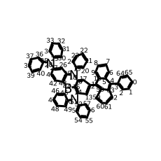 c1ccc(-c2c3ccccc3c(-c3cc4c5c(c3)N(c3ccccc3)c3cc(N(c6ccccc6)c6ccccc6)ccc3B5c3ccccc3N4c3ccccc3)c3ccccc23)cc1